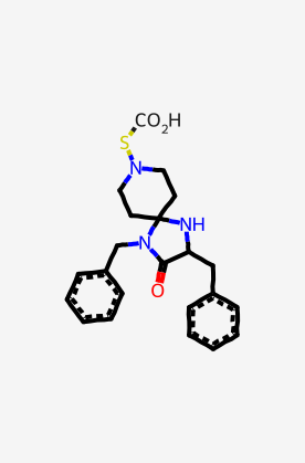 O=C(O)SN1CCC2(CC1)NC(Cc1ccccc1)C(=O)N2Cc1ccccc1